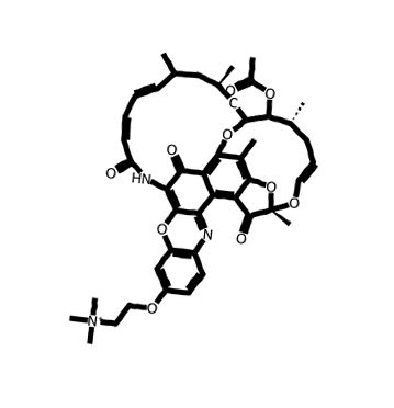 CC(=O)OC1C2C[C@H](C)CC(C)/C=C/C=C\C(=O)Nc3c4oc5cc(OCC[N+](C)(C)C)ccc5nc-4c4c5c(c(C)c(c4c3=O)O2)O[C@](C)(O/C=C/C[C@H]1C)C5=O